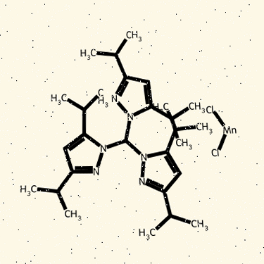 CC(C)c1cc(C(C)C)n(C(n2nc(C(C)C)cc2C(C)C)n2nc(C(C)C)cc2C(C)C)n1.[Cl][Mn][Cl]